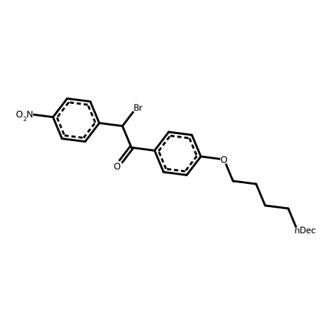 CCCCCCCCCCCCCCOc1ccc(C(=O)C(Br)c2ccc([N+](=O)[O-])cc2)cc1